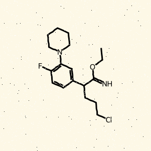 CCOC(=N)C(CCCCl)c1ccc(F)c(N2CCCCC2)c1